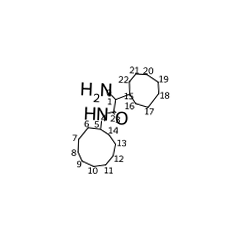 NC(C(=O)NC1CCCCCCCCC1)C1CCCCCCC1